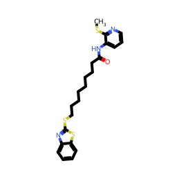 CSc1ncccc1NC(=O)CCCCCCCCSc1nc2ccccc2s1